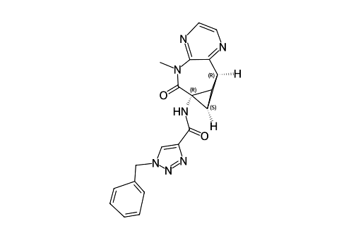 CN1C(=O)[C@@]2(NC(=O)c3cn(Cc4ccccc4)nn3)C3[C@@H](c4nccnc41)[C@H]32